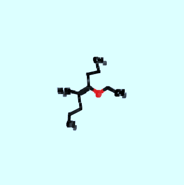 CCCC([SiH3])=C(CCC)OCC